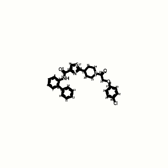 O=C(Nc1ccccc1-c1ccccc1)c1csc(C2CCN(C(=O)COc3ccc(Cl)cc3)CC2)n1